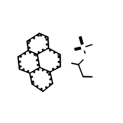 CC(CC=O)OS(C)(=O)=O.c1cc2ccc3cccc4ccc(c1)c2c34